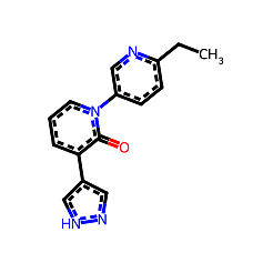 CCc1ccc(-n2cccc(-c3cn[nH]c3)c2=O)cn1